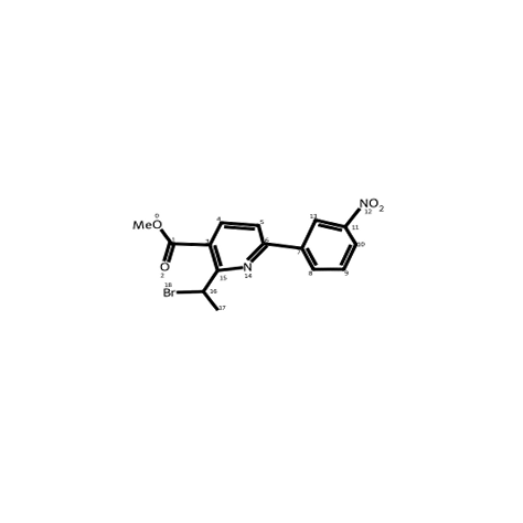 COC(=O)c1ccc(-c2cccc([N+](=O)[O-])c2)nc1C(C)Br